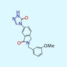 COc1cccc(CN2Cc3ccc(-n4cn[nH]c4=O)cc3C2=O)c1